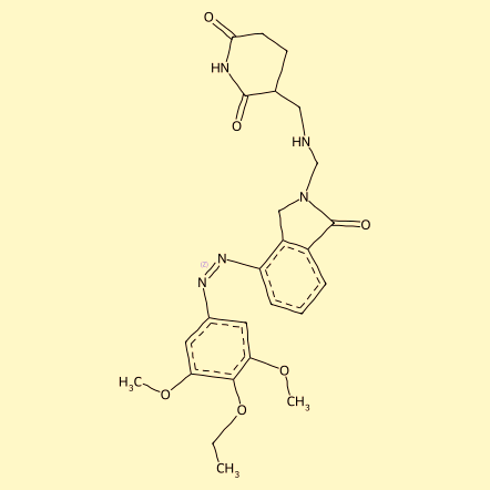 CCOc1c(OC)cc(/N=N\c2cccc3c2CN(CNCC2CCC(=O)NC2=O)C3=O)cc1OC